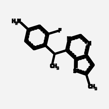 Cc1cc2ncnc(C(C)c3ccc(N)cc3F)c2s1